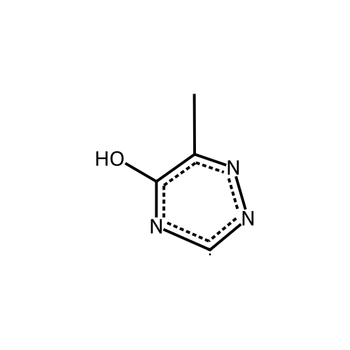 Cc1nn[c]nc1O